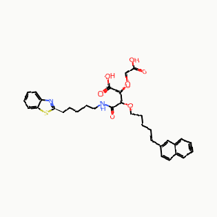 O=C(O)COC(C(=O)O)C(OCCCCCc1ccc2ccccc2c1)C(=O)NCCCCCc1nc2ccccc2s1